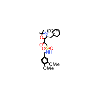 COc1ccc(CNS(=O)(=O)CC(=O)C2OC(C)(C)N(C(=O)O)[C@H]2CC2CCCCC2)cc1OC